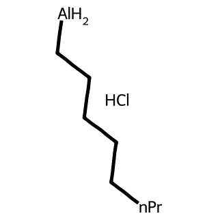 CCCCCCC[CH2][AlH2].Cl